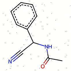 CC(=O)NC(C#N)c1ccccc1